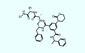 CCNC(=O)[C@@H](NC(=O)[C@H](C)NC[C@H](Cc1ccccc1)NC(=O)c1cc(C(=O)NC(C)c2cccnc2)cc(N2CCCOC2=O)c1)C(C)C